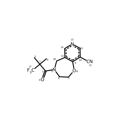 CC(C)(C(=O)N1CCOc2c(C#N)cncc2C1)C(F)(F)F